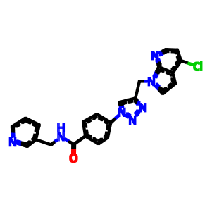 O=C(NCc1cccnc1)c1ccc(-n2cc(Cn3ccc4c(Cl)ccnc43)nn2)cc1